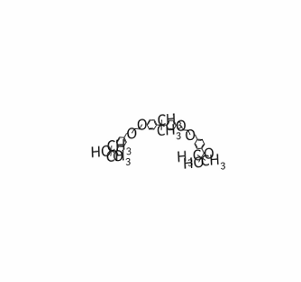 CC(C)(O)C(=O)c1ccc(COCCOc2ccc(C(C)(C)c3ccc(OCCOCc4ccc(C(=O)C(C)(C)O)cc4)cc3)cc2)cc1